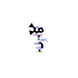 N=C(/C=C\NC(F)F)/S(N)=N/C(=O)Nc1c2c(nc(C3CC3)c1C1CC1)CCC2